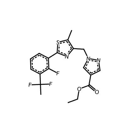 CCOC(=O)c1cnn(Cc2nc(-c3cccc(C(C)(F)F)c3F)sc2C)c1